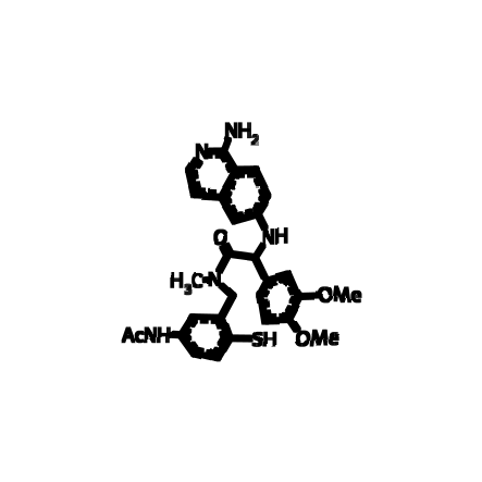 COc1ccc(C(Nc2ccc3c(N)nccc3c2)C(=O)N(C)Cc2cc(NC(C)=O)ccc2S)cc1OC